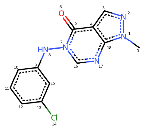 Cn1ncc2c(=O)n(Nc3cccc(Cl)c3)cnc21